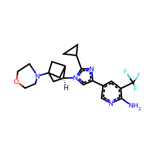 Nc1ncc(-c2cn([C@H]3CC4(N5CCOCC5)CC3C4)c(C3CC3)n2)cc1C(F)(F)F